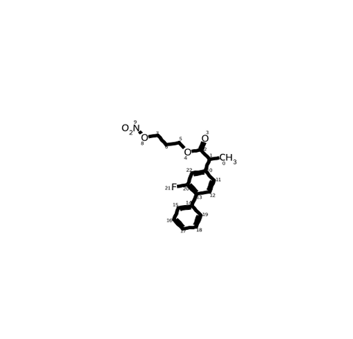 CC(C(=O)OCCCO[N+](=O)[O-])c1ccc(-c2ccccc2)c(F)c1